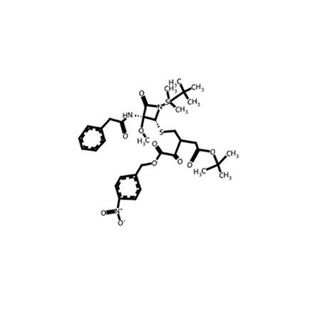 CO[C@@]1(NC(=O)Cc2ccccc2)C(=O)N([Si](C)(C)C(C)(C)C)[C@@H]1SCC(CC(=O)OC(C)(C)C)C(=O)C(=O)OCc1ccc([N+](=O)[O-])cc1